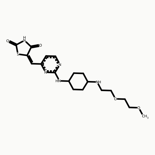 COCCOCCNC1CCC(Nc2nccc(/C=C3/SC(=O)NC3=O)n2)CC1